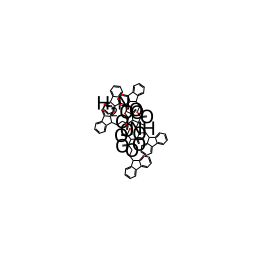 CC(N[C@@H](CCCCN)C(=O)C(C(=O)OCC1c2ccccc2-c2ccccc21)C(=O)OCC1c2ccccc2-c2ccccc21)(C(=O)OCC1c2ccccc2-c2ccccc21)C(C(=O)OCC1c2ccccc2-c2ccccc21)C(=O)OCC1c2ccccc2-c2ccccc21